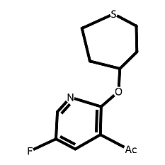 CC(=O)c1cc(F)cnc1OC1CCSCC1